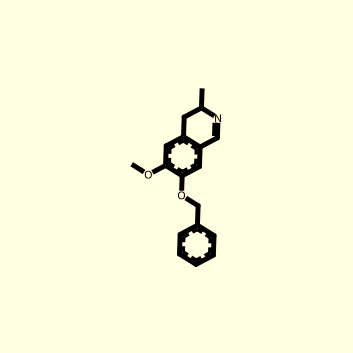 COc1cc2c(cc1OCc1ccccc1)C=NC(C)C2